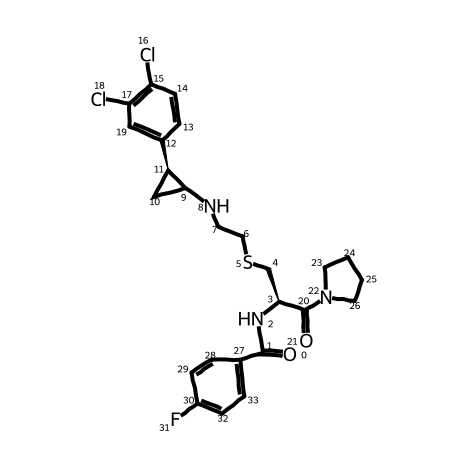 O=C(N[C@@H](CSCCNC1C[C@H]1c1ccc(Cl)c(Cl)c1)C(=O)N1CCCC1)c1ccc(F)cc1